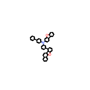 c1ccc(-c2ccc(N(c3cccc(-c4cccc5oc6c7ccccc7ccc6c45)c3)c3ccc4c(c3)oc3ccccc34)cc2)cc1